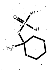 CC1(SP(=O)(S)S)CCCCC1